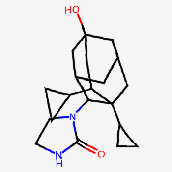 O=C1NCCN1C1C2CC3CC(O)(C2)C(C2CC2)C1(C1CC1)C3